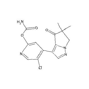 CC1(C)Cn2ncc(-c3cc(OC(N)=O)ncc3Cl)c2C1=O